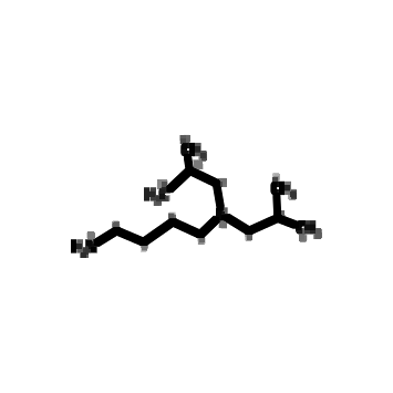 CC(C)CN(CCCCN)CC(C)C